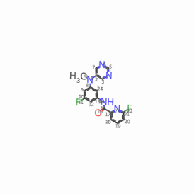 CN(c1cncnc1)c1cc(F)cc(NC(=O)c2cccc(F)n2)c1